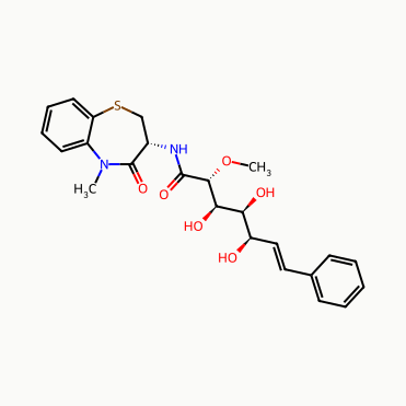 CO[C@@H](C(=O)N[C@H]1CSc2ccccc2N(C)C1=O)[C@H](O)[C@@H](O)[C@H](O)/C=C/c1ccccc1